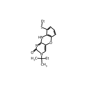 CCSc1cccc2c1Nc1nc(=O)n(C(C)(C)CC)cc1O2